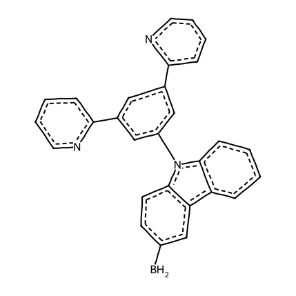 Bc1ccc2c(c1)c1ccccc1n2-c1cc(-c2ccccn2)cc(-c2ccccn2)c1